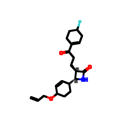 C=CCOC1C=CC([C@H]2NC(=O)[C@@H]2CCC(=O)C2=CCC(F)CC2)CC1